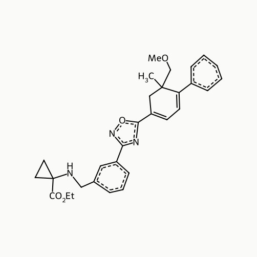 CCOC(=O)C1(NCc2cccc(-c3noc(C4=CC=C(c5ccccc5)C(C)(COC)C4)n3)c2)CC1